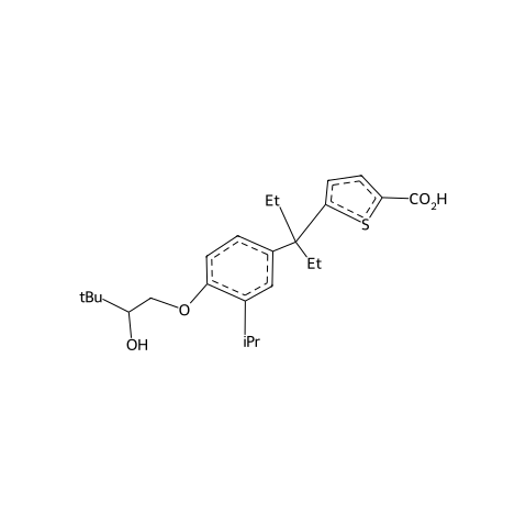 CCC(CC)(c1ccc(OCC(O)C(C)(C)C)c(C(C)C)c1)c1ccc(C(=O)O)s1